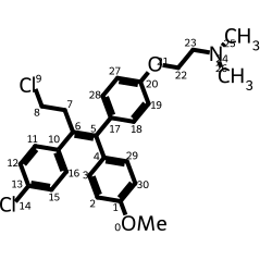 COc1ccc(/C(=C(/CCCl)c2ccc(Cl)cc2)c2ccc(OCCN(C)C)cc2)cc1